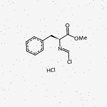 COC(=O)[C@H](Cc1ccccc1)N=CCl.Cl